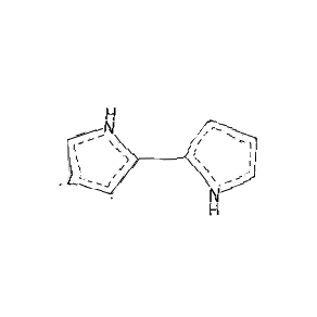 [c]1[c]c(-c2ccc[nH]2)[nH]c1